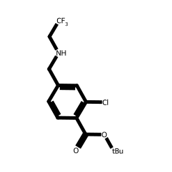 CC(C)(C)OC(=O)c1ccc(CNCC(F)(F)F)cc1Cl